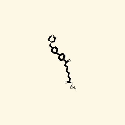 COC(=O)CCCCCCC(=O)c1ccc(-c2ccc(CN3CCOCC3)cc2)cc1